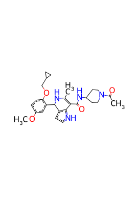 COc1ccc(OCC2CC2)c(C2NC(C)=C(C(=O)NC3CCN(C(C)=O)CC3)c3[nH]ccc32)c1